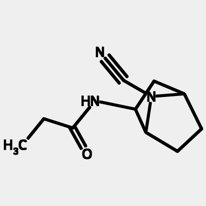 CCC(=O)NC1CC2CCC1N2C#N